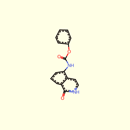 O=C(Nc1cccc2c(=O)[nH]ccc12)Oc1ccccc1